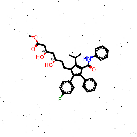 COC(=O)C[C@H](O)C[C@H](O)CCC1C(c2ccc(F)cc2)=C(c2ccccc2)C(C(=O)Nc2ccccc2)=C1C(C)C